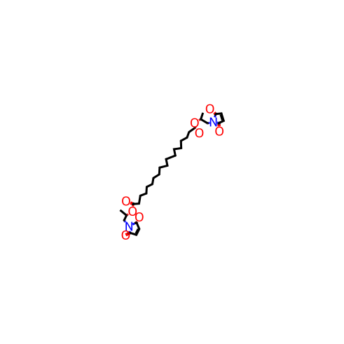 CC(CN1C(=O)C=CC1=O)OC(=O)CCCCCCCCCCCCCCCCC(=O)OC(C)CN1C(=O)C=CC1=O